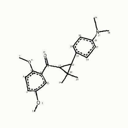 COc1ccc(OC)c(C(=O)C2C(c3ccc(N(C)C)cc3)C2(C)C)c1